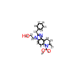 COC(=O)N1c2ccc3c(nc(Cc4ccccc4)n3CCO)c2CCC1C